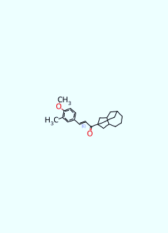 COc1ccc(/C=C/C(=O)C23CC4CCCC(C2)C(C4)C3)cc1C